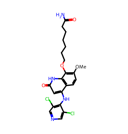 COc1ccc2c(Nc3c(Cl)cncc3Cl)cc(=O)[nH]c2c1OCCCCCCC(N)=O